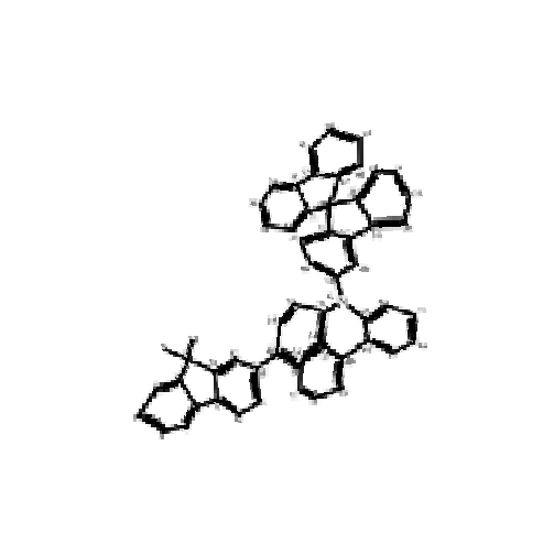 CC1(C)c2ccccc2-c2ccc(-c3ccc(N(c4ccc5c(c4)-c4ccccc4C54c5ccccc5-c5ccccc54)c4ccccc4-c4ccccc4)cc3)cc21